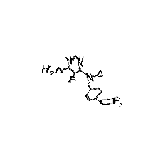 Nc1ncnc(N(Cc2ccc(C(F)(F)F)cc2)C2CC2)c1F